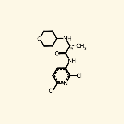 C[C@@H](NC1CCOCC1)C(=O)Nc1ccc(Cl)nc1Cl